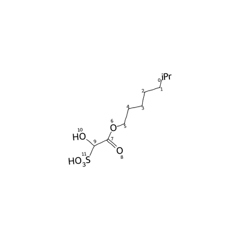 CC(C)CCCCCOC(=O)C(O)S(=O)(=O)O